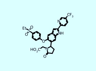 CCS(=O)(=O)c1ccc(Oc2cc3cc(-c4ccc(C(F)(F)F)cn4)[nH]c3cc2C2CCC(=O)N2CC(=O)O)cc1